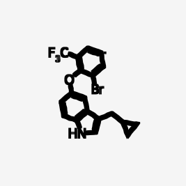 FC(F)(F)c1c[c]cc(Br)c1Oc1ccc2[nH]cc(CC3CC3)c2c1